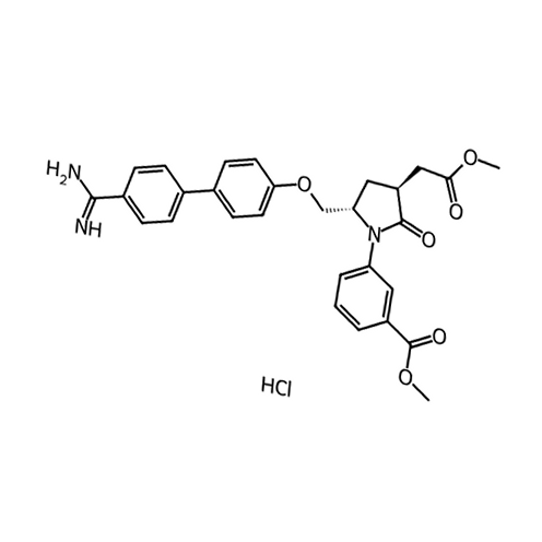 COC(=O)C[C@@H]1C[C@@H](COc2ccc(-c3ccc(C(=N)N)cc3)cc2)N(c2cccc(C(=O)OC)c2)C1=O.Cl